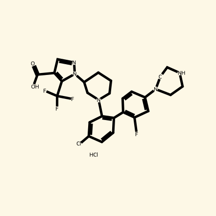 Cl.O=C(O)c1cnn(C2CCCN(c3cc(Cl)ccc3-c3ccc(N4CCNCC4)cc3F)C2)c1C(F)(F)F